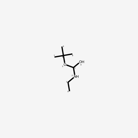 CCNC(O)OC(C)(C)C